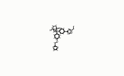 CCn1nnc(-c2ccc([C@@]3(c4ccc(OCc5nccs5)cc4)C[C@@H]4CC[C@H]3C4)cc2)n1